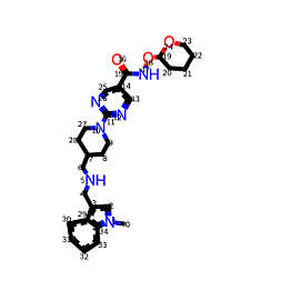 Cn1cc(CNCC2CCN(c3ncc(C(=O)NOC4CCCCO4)cn3)CC2)c2ccccc21